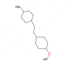 CCCCC1CCC(CCC2CCC(OCCC)CC2)CC1